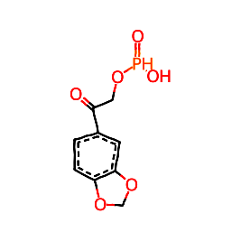 O=C(CO[PH](=O)O)c1ccc2c(c1)OCO2